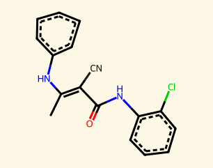 CC(Nc1ccccc1)=C(C#N)C(=O)Nc1ccccc1Cl